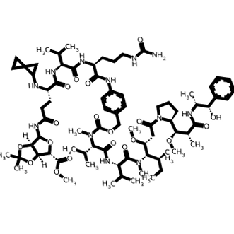 CC[C@H](C)[C@@H]([C@@H](CC(=O)N1CCC[C@H]1[C@H](OC)[C@@H](C)C(=O)N[C@H](C)[C@@H](O)c1ccccc1)OC)N(C)C(=O)[C@@H](NC(=O)[C@H](C(C)C)N(C)C(=O)OCc1ccc(NC(=O)[C@H](CCCNC(N)=O)NC(=O)[C@@H](NC(=O)[C@H](CCC(=O)NC2O[C@H](C(=O)OC)[C@H]3OC(C)(C)O[C@@H]23)NC2CC23CC3)C(C)C)cc1)C(C)C